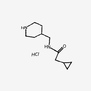 Cl.O=C(CC1CC1)NCC1CCNCC1